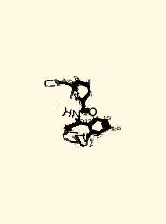 O=C(O)CC(NC(=O)c1cccc(Cl)n1)c1ccccc1Cl